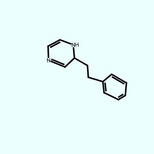 C1=CNC(CCc2ccccc2)C=N1